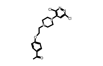 CC(=O)c1ccc(OCCN2CCN(c3cc(Cl)nnc3Cl)CC2)cc1